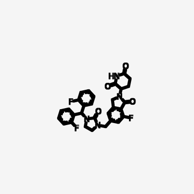 O=C1CCC(N2Cc3cc(CN4CCN(C(c5ccccc5F)c5ccccc5F)C4=O)cc(F)c3C2=O)C(=O)N1